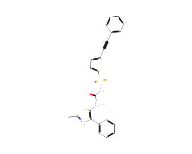 Cc1nc(-c2ccccc2)c(NC(=O)NS(=O)(=O)c2ccc(C#Cc3ccccc3)s2)s1